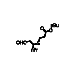 CCCCOC(=O)CCSC(CC=O)CCC